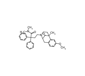 COc1ccc2c(c1)C1(C)CCN(CCC(C(=O)N(C)C)(c3ccccc3)c3ccccc3)C(C2)C1=O